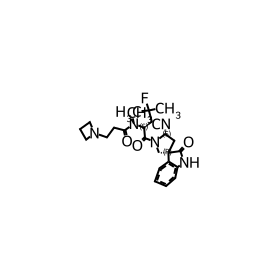 CN(C(=O)CCN1CCC1)[C@@H](CC(C)(C)F)C(=O)N1C[C@]2(C[C@H]1C#N)C(=O)Nc1ccccc12